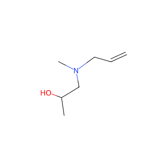 C=CCN(C)CC(C)O